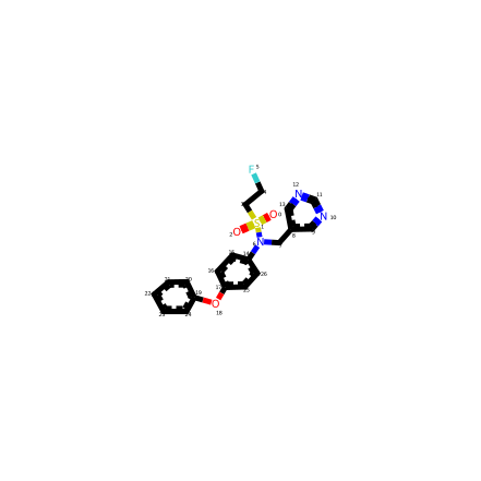 O=S(=O)(CCF)N(Cc1cncnc1)c1ccc(Oc2ccccc2)cc1